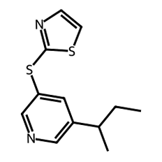 CCC(C)c1cncc(Sc2nccs2)c1